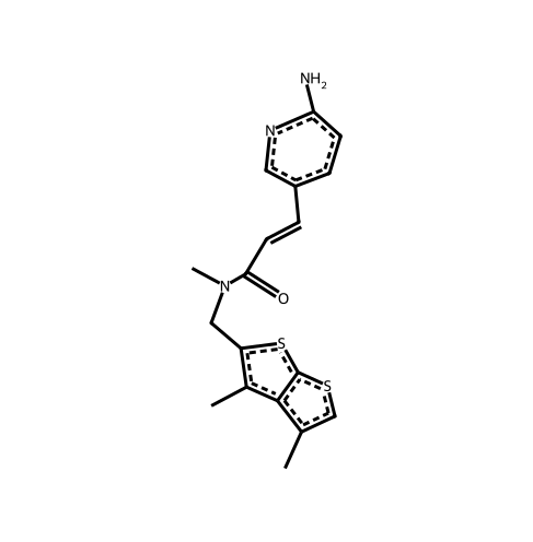 Cc1csc2sc(CN(C)C(=O)C=Cc3ccc(N)nc3)c(C)c12